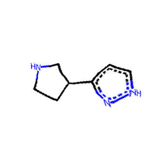 c1cc(C2CCNC2)n[nH]1